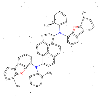 Cc1ccccc1N(c1ccc2ccc3c(N(C4=CC=CC[C@@H]4C)c4cccc5c4oc4c(C(C)(C)C)cccc45)ccc4ccc1c2c43)c1cccc2c1oc1c(C(C)(C)C)cccc12